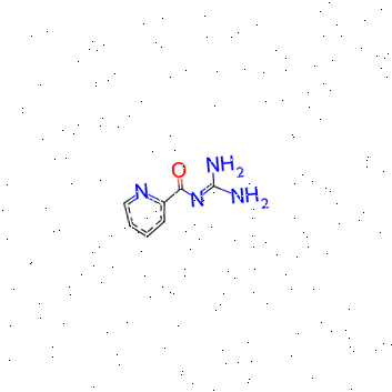 NC(N)=NC(=O)c1ccccn1